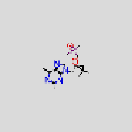 Cc1nc(C)c2ncn(C[C@]3(OCP(C)(C)=O)CC3(C)C)c2n1